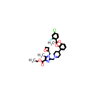 CCOC(=O)c1nc(CN2CCC(c3cccc4c3O[C@@](C)(c3ccc(Cl)cc3F)O4)CC2)n(C[C@@H]2CCO2)c1C